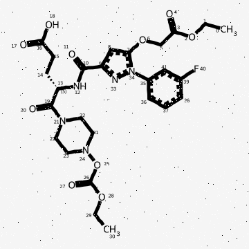 CCOC(=O)COc1cc(C(=O)N[C@@H](CCC(=O)O)C(=O)N2CCN(OC(=O)OCC)CC2)nn1-c1cccc(F)c1